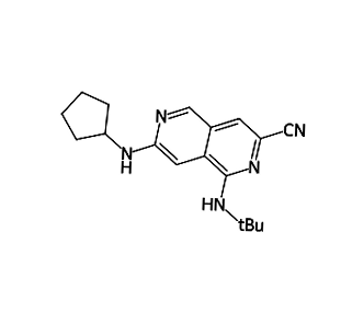 CC(C)(C)Nc1nc(C#N)cc2cnc(NC3CCCC3)cc12